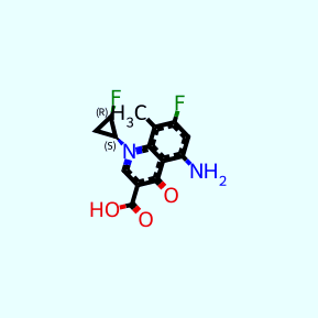 Cc1c(F)cc(N)c2c(=O)c(C(=O)O)cn([C@H]3C[C@H]3F)c12